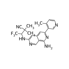 Cc1ccncc1-c1cc2cc(NC(C(F)(F)F)C(C)(C)C#N)ncc2c(N)n1